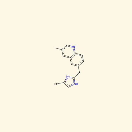 CCc1c[nH]c(Cc2ccc3ncc(C)cc3c2)n1